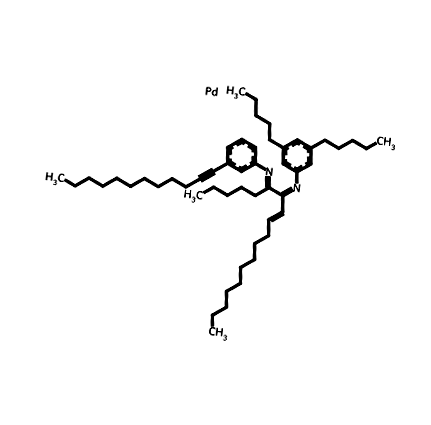 CCCCCCCCCC=CC(=Nc1cc(CCCCC)cc(CCCCC)c1)C(CCCCC)=Nc1cccc(C#CCCCCCCCCCC)c1.[Pd]